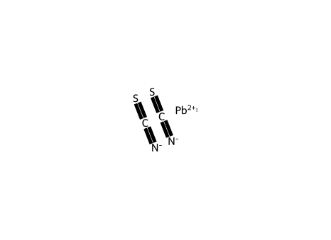 [N-]=C=S.[N-]=C=S.[Pb+2]